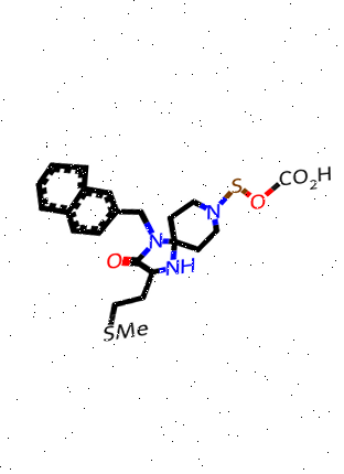 CSCCC1NC2(CCN(SOC(=O)O)CC2)N(Cc2ccc3ccccc3c2)C1=O